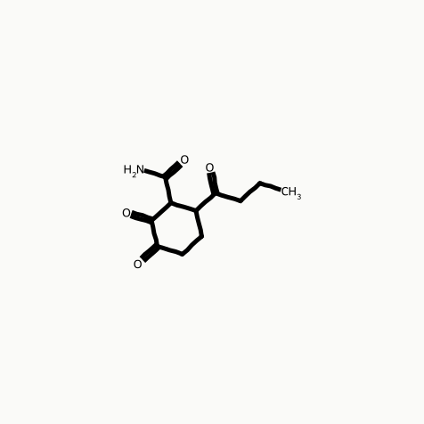 CCCC(=O)C1CCC(=O)C(=O)C1C(N)=O